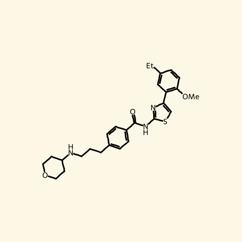 CCc1ccc(OC)c(-c2csc(NC(=O)c3ccc(CCCNC4CCOCC4)cc3)n2)c1